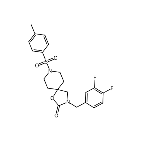 Cc1ccc(S(=O)(=O)N2CCC3(CC2)CN(Cc2ccc(F)c(F)c2)C(=O)O3)cc1